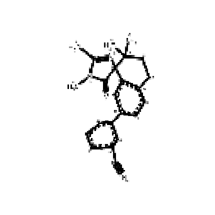 CN1C(=O)C2(N=C1N)c1cc(-c3cccc(C#N)c3)ccc1CCC2(C)C